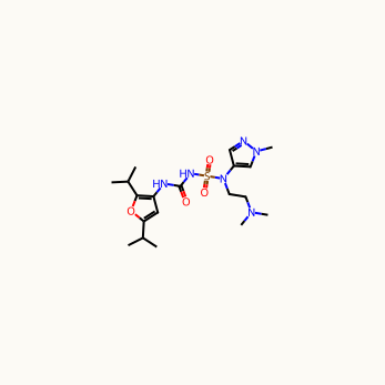 CC(C)c1cc(NC(=O)NS(=O)(=O)N(CCN(C)C)c2cnn(C)c2)c(C(C)C)o1